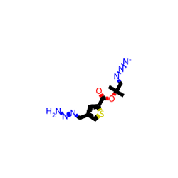 CC(C)(CN=[N+]=[N-])OC(=O)c1cc(CN=NN)cs1